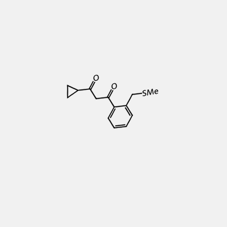 CSCc1ccccc1C(=O)CC(=O)C1CC1